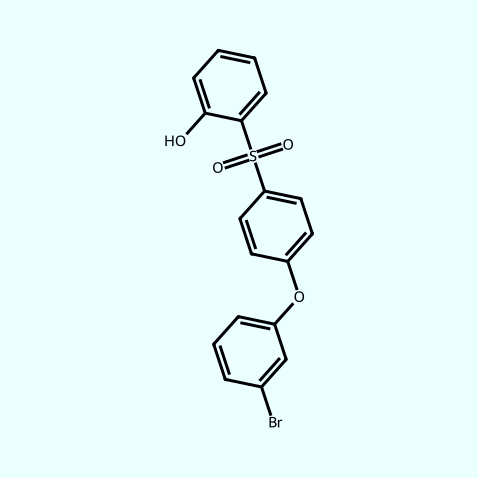 O=S(=O)(c1ccc(Oc2cccc(Br)c2)cc1)c1ccccc1O